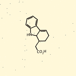 O=C(O)CC1CCC=C2c3ccccc3NC21